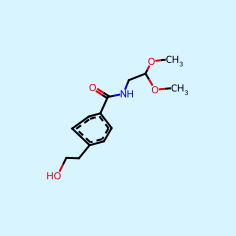 COC(CNC(=O)c1ccc(CCO)cc1)OC